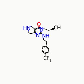 C#CCCn1c(NCCc2ccc(C(F)(F)F)cc2)nc2c(c1=O)CNCC2